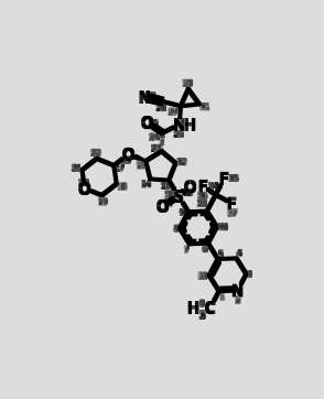 CC1=NCCC(c2ccc(S(=O)(=O)C3C[C@@H](OC4CCOCC4)[C@H](C(=O)NC4(C#N)CC4)C3)c(C(F)(F)F)c2)=C1